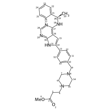 COC(=O)CCN1CCN(Cc2ccc(-c3cc4c(N[C@H](C)c5ccccc5)ncnc4[nH]3)cc2)CC1